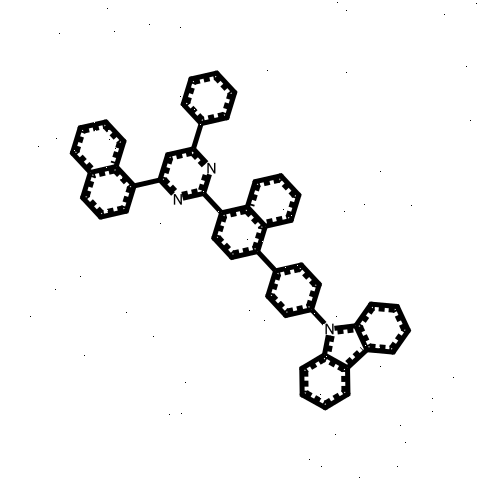 c1ccc(-c2cc(-c3cccc4ccccc34)nc(-c3ccc(-c4ccc(-n5c6ccccc6c6ccccc65)cc4)c4ccccc34)n2)cc1